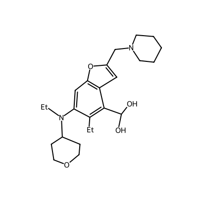 CCc1c(N(CC)C2CCOCC2)cc2oc(CN3CCCCC3)cc2c1C(O)O